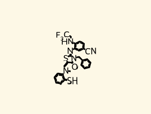 CN(/C=C1/SC(=Nc2cc(C#N)ccc2NCC(F)(F)F)N(Cc2ccccc2)C1=O)c1ccccc1S